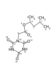 CC(C)CC(C)OC(=O)Cn1c(=O)[nH]c(=O)[nH]c1=O